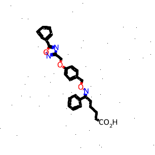 O=C(O)CCCCC(=NOCc1ccc(OCc2noc(-c3ccccc3)n2)cc1)c1ccccc1